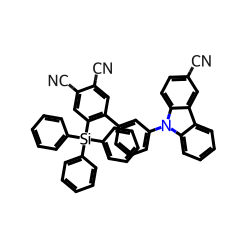 N#Cc1ccc2c(c1)c1ccccc1n2-c1cccc(-c2cc(C#N)c(C#N)cc2[Si](c2ccccc2)(c2ccccc2)c2ccccc2)c1